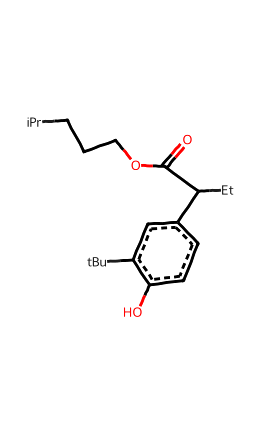 CCC(C(=O)OCCCC(C)C)c1ccc(O)c(C(C)(C)C)c1